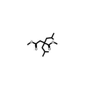 COC(=O)CC(CC(C)C)(CC(C)C)C(=O)OC